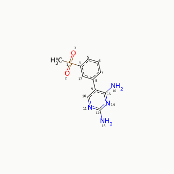 CS(=O)(=O)c1cccc(-c2cnc(N)nc2N)c1